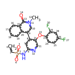 C=CS(=O)(=O)Nc1cc(-c2cn(C)c(=O)c3ccccc23)c(Oc2ccc(F)cc2F)cn1